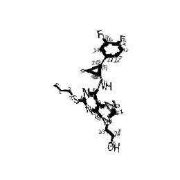 CCCSc1nc(N[C@@H]2C[C@H]2c2ccc(F)c(F)c2)c2ncn(CCO)c2n1